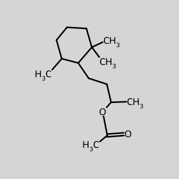 CC(=O)OC(C)CCC1C(C)CCCC1(C)C